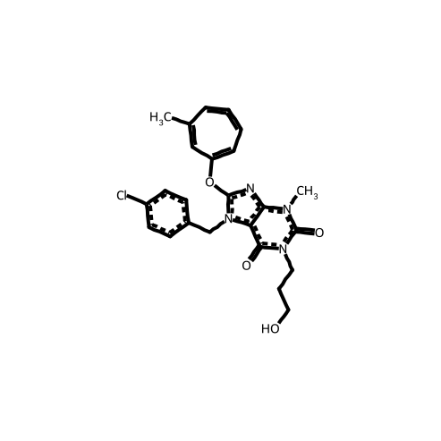 CC1=CC(Oc2nc3c(c(=O)n(CCCO)c(=O)n3C)n2Cc2ccc(Cl)cc2)=CC=C=C1